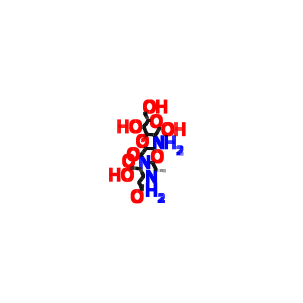 CC(O[C@@H]1[C@@H](N)[C@@H](O)O[C@H](CO)[C@H]1O)C(=O)N(C(=O)[C@H](C)N)[C@@H](CC[C]=O)C(=O)O